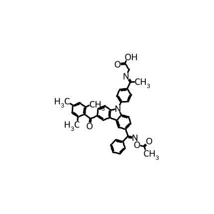 CC(=O)ON=C(c1ccccc1)c1ccc2c(c1)c1cc(C(=O)c3c(C)cc(C)cc3C)ccc1n2-c1ccc(C(C)=NCC(=O)O)cc1